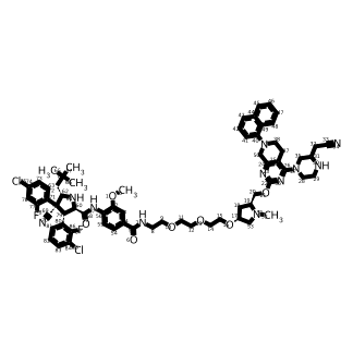 COc1cc(C(=O)NCCOCCOCCO[C@@H]2C[C@@H](COc3nc4c(c(N5CCNC(CC#N)C5)n3)CCN(c3cccc5ccccc35)C4)N(C)C2)ccc1NC(=O)[C@@H]1N[C@@H](CC(C)(C)C)[C@](C#N)(c2ccc(Cl)cc2F)[C@H]1c1cccc(Cl)c1F